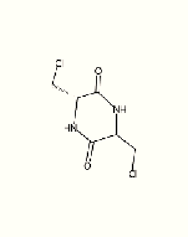 O=C1N[C@H](CCl)C(=O)NC1CCl